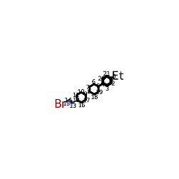 CCc1ccc(C2CCC([C@H]3CC[C@H](/C=C/Br)CC3)CC2)cc1